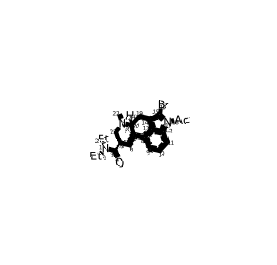 CCN(CC)C(=O)[C@@H]1C=C2c3cccc4c3c(c(Br)n4C(C)=O)C[C@H]2N(C)C1